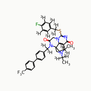 [2H]c1c([2H])c(C([2H])([2H])Sc2nc(=O)c3c(n2CC(=O)N(CCN(C([2H])([2H])C)C([2H])([2H])C)C([2H])([2H])c2ccc(-c4ccc(C(F)(F)F)cc4)cc2)CCC3)c([2H])c([2H])c1F